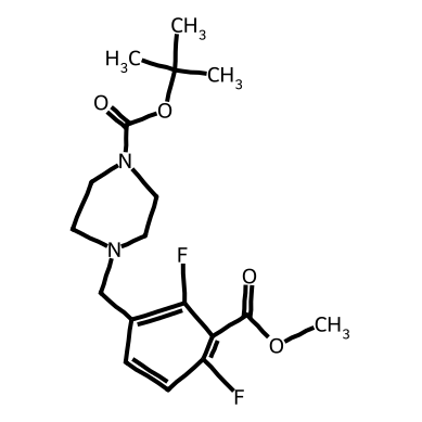 COC(=O)c1c(F)ccc(CN2CCN(C(=O)OC(C)(C)C)CC2)c1F